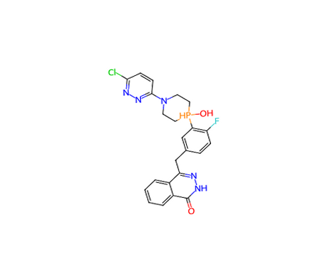 O=c1[nH]nc(Cc2ccc(F)c([PH]3(O)CCN(c4ccc(Cl)nn4)CC3)c2)c2ccccc12